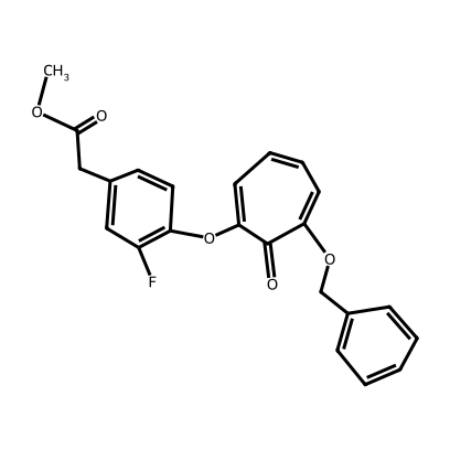 COC(=O)Cc1ccc(Oc2ccccc(OCc3ccccc3)c2=O)c(F)c1